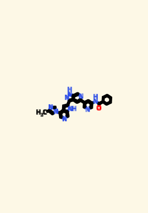 Cc1cn(-c2cncc3[nH]c(-c4n[nH]c5cnc(-c6cncc(NC(=O)C7CCCCC7)c6)cc45)cc23)cn1